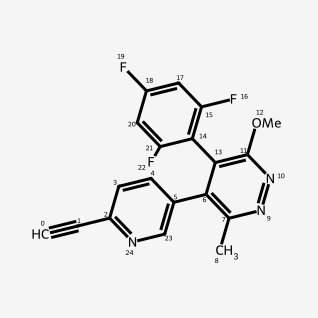 C#Cc1ccc(-c2c(C)nnc(OC)c2-c2c(F)cc(F)cc2F)cn1